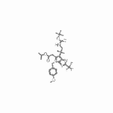 COc1ccc(Cn2c(CC(=O)OC(C)C)c(C(C)(C)CNC(=O)OC(C)(C)C)c3nc(C(F)(F)F)sc32)cc1